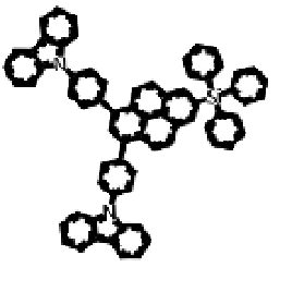 c1ccc([Si](c2ccccc2)(c2ccccc2)c2cc3ccc4c(-c5ccc(-n6c7ccccc7c7ccccc76)cc5)cc(-c5ccc(-n6c7ccccc7c7ccccc76)cc5)c5ccc(c2)c3c45)cc1